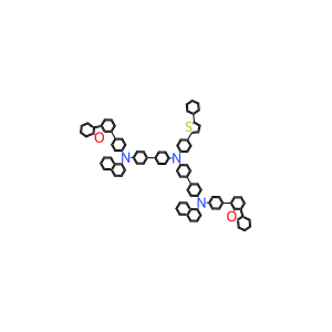 c1ccc(-c2ccc(-c3ccc(N(c4ccc(-c5ccc(N(c6ccc(-c7cccc8c7oc7ccccc78)cc6)c6cccc7ccccc67)cc5)cc4)c4ccc(-c5ccc(N(c6ccc(-c7cccc8c7oc7ccccc78)cc6)c6cccc7ccccc67)cc5)cc4)cc3)s2)cc1